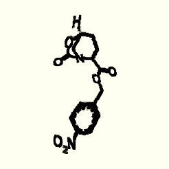 O=C(OCc1ccc([N+](=O)[O-])cc1)C1CC[C@H]2CN1C(=O)O2